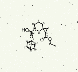 CCOC(=O)C1CC12CCCN(C(=O)O)C2.c1cc2cc(c1)C2